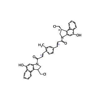 Cc1cc(/C=C/C(=O)N2C[C@@H](CCl)c3c2cc(O)c2ccccc32)ccc1/C=C/C(=O)N1CC(CCl)c2c1cc(O)c1ccccc21